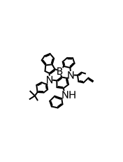 C=C/C=C\C(=C/C)N1c2ccccc2B2C3=C(Cc4ccccc43)N(c3ccc(C(C)(C)C)cc3)c3cc(Nc4ccccc4)cc1c32